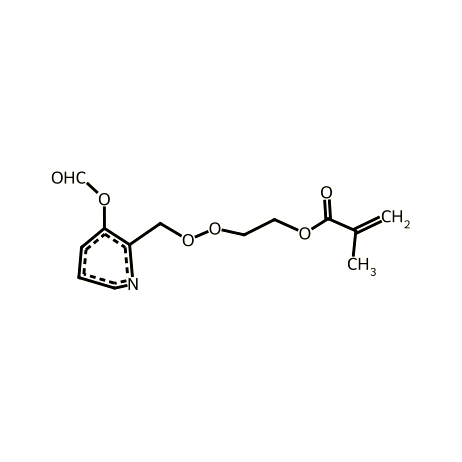 C=C(C)C(=O)OCCOOCc1ncccc1OC=O